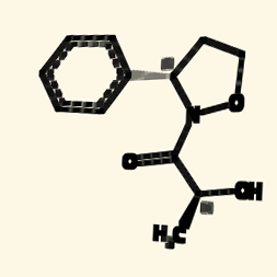 C[C@H](O)C(=O)N1OCC[C@H]1c1ccccc1